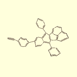 N#Cc1ccc(-c2ccc3c(-c4ccccc4)c4c(c(-c5ccccc5)c3c2)-c2cccc3cccc-4c23)cc1